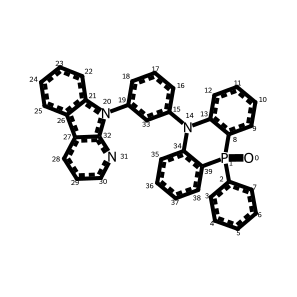 O=P1(c2ccccc2)c2ccccc2N(c2cccc(-n3c4ccccc4c4cccnc43)c2)c2ccccc21